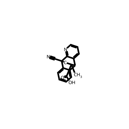 CC1(C(=O)O)CC2(C#N)c3ccccc3C1c1cccnc12